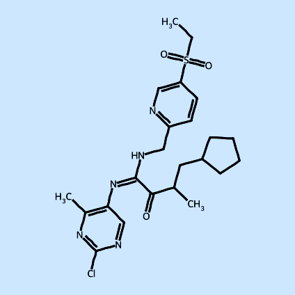 CCS(=O)(=O)c1ccc(CN/C(=N/c2cnc(Cl)nc2C)C(=O)C(C)CC2CCCC2)nc1